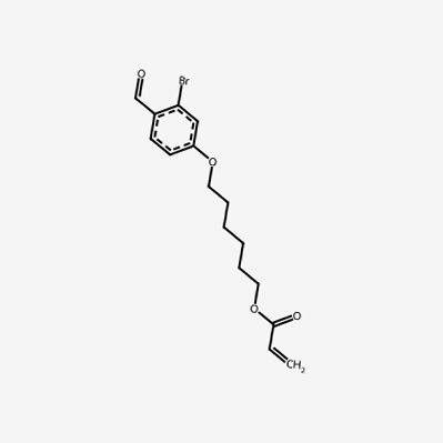 C=CC(=O)OCCCCCCOc1ccc(C=O)c(Br)c1